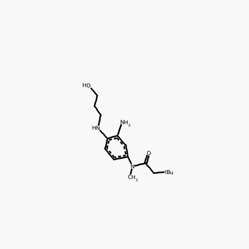 CN(C(=O)CC(C)(C)C)c1ccc(NCCCO)c(N)c1